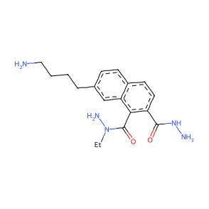 CCN(N)C(=O)c1c(C(=O)NN)ccc2ccc(CCCCN)cc12